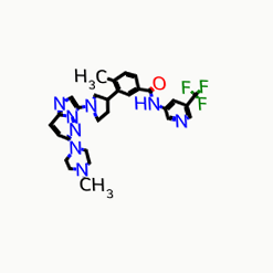 Cc1ccc(C(=O)Nc2cncc(C(F)(F)F)c2)cc1C1CCN(c2cnc3ccc(N4CCN(C)CC4)nn23)C1